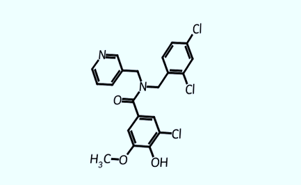 COc1cc(C(=O)N(Cc2cccnc2)Cc2ccc(Cl)cc2Cl)cc(Cl)c1O